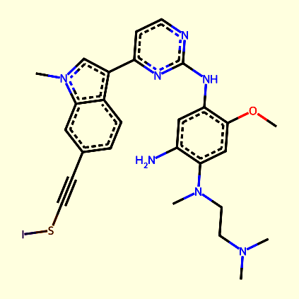 COc1cc(N(C)CCN(C)C)c(N)cc1Nc1nccc(-c2cn(C)c3cc(C#CSI)ccc23)n1